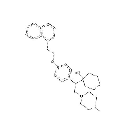 CN1CCN(CC(c2ccc(OCCc3cccc4ccccc34)cc2)C2(O)CCCCC2)CC1